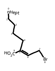 CCCCCCCCCCC/C(=C\CBr)C(=O)O